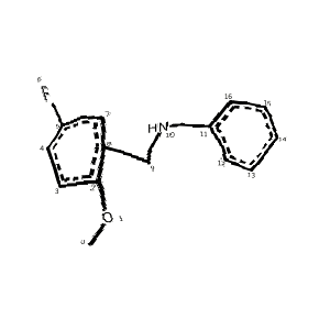 COc1ccc(F)cc1CNc1[c]cccc1